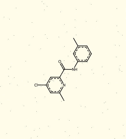 Cc1cccc(NC(=O)c2cc(Cl)cc(C)n2)c1